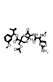 C=C(C)C(OC(=O)C1(COC(C)=O)CS[C@@H]2C(NC(=O)C(=NOC)c3csc(N)n3)C(=O)N2C1)c1cccc(OC)c1